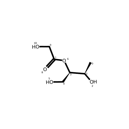 C[C@@H](O)[C@@H](CO)OC(=O)CO